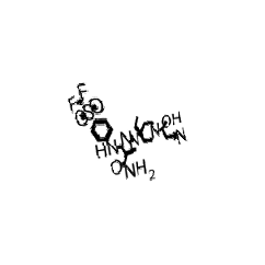 CCC1(n2cc(C(N)=O)c(Nc3ccc(S(=O)(=O)C(F)F)cc3)n2)CCN(C(O)CC#N)CC1